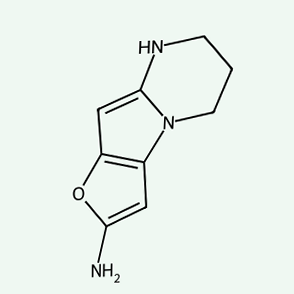 Nc1cc2c(cc3n2CCCN3)o1